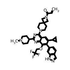 C=CC(=O)N1CC2(CCN(c3nc(C4CCN(C)CC4)nc4c(OCC(F)(F)F)c(-c5ccc6cn[nH]c6c5)c(C5CC5)cc34)CC2)C1